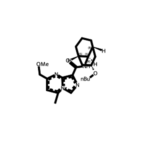 CCCCO[C@H]1C[C@H]2CCC[C@@H](C1)[C@@H]2NC(=O)c1ncn2c(C)cc(COC)nc12